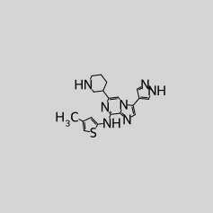 Cc1csc(Nc2nc(C3CCCNC3)cn3c(-c4cn[nH]c4)cnc23)c1